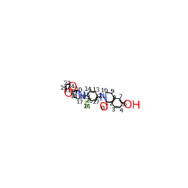 O=C1c2ccc(O)cc2CCN1c1ccc(N2CCC3(C2)OCCO3)c(F)c1